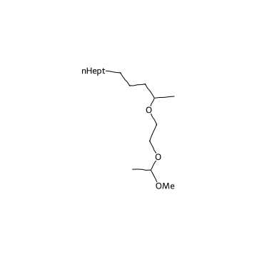 CCCCCCCCCCC(C)OCCOC(C)OC